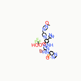 COc1cc(N2CCC(CN3CCN(C(C)=O)CC3)CC2)c(-c2cnn(C)c2)cc1Nc1ncc(Br)c(Nc2ccc3nccnc3c2P(C)(C)=O)n1.O=C(O)C(F)(F)F